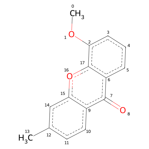 COc1cccc2c(=O)c3ccc(C)cc3oc12